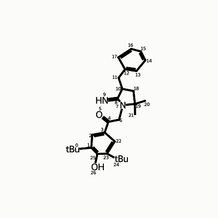 CC(C)(C)c1cc(C(=O)CN2C(=N)C(Cc3ccccc3)CC2(C)C)cc(C(C)(C)C)c1O